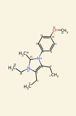 CCC1=C(CC)N(c2ccc(OC)cc2)C(C)N1CC